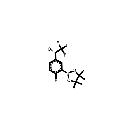 CC1(C)OB(c2cc([C@H](O)C(F)(F)F)ccc2F)OC1(C)C